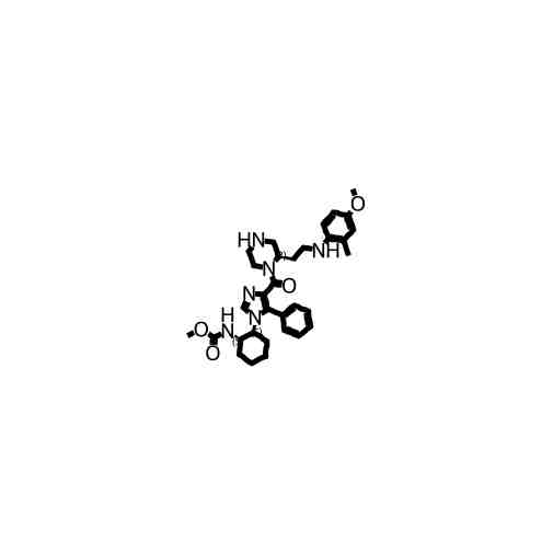 COC(=O)N[C@H]1CCCC[C@@H]1n1cnc(C(=O)N2CCNC[C@H]2CCNc2ccc(OC)cc2C)c1-c1ccccc1